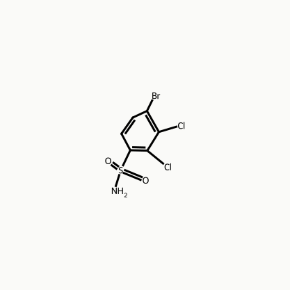 NS(=O)(=O)c1ccc(Br)c(Cl)c1Cl